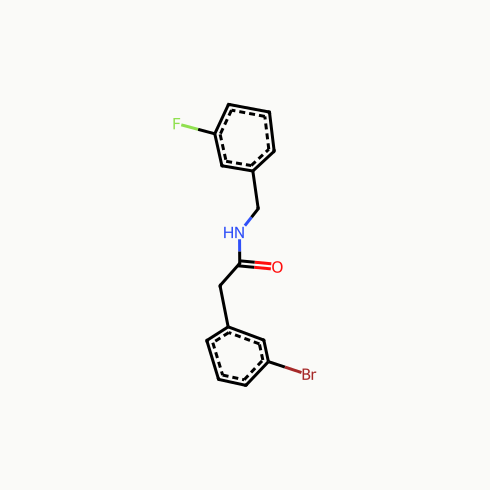 O=C(Cc1cccc(Br)c1)NCc1cccc(F)c1